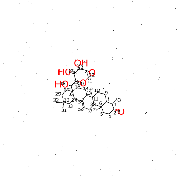 CC1C(=O)CCC2(C)C1CCC1(C)C3CCC4(C(O)C5OC6OC6C(O)C5O)CCC(C)(C)CC4C3=CCC12